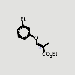 CCOC(=O)/C(C)=C/Oc1cccc(CC)c1